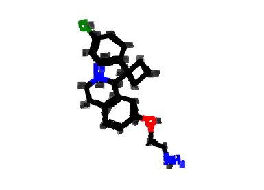 NCCOc1ccc2c(c1)C(C1(c3ccc(Cl)cc3)CCC1)NCC2